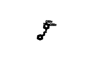 COc1cc(SCCc2ccccc2)cnc1OC